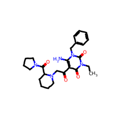 CCn1c(=O)c(C(=O)CN2CCCCC2C(=O)N2CCCC2)c(N)n(Cc2ccccc2)c1=O